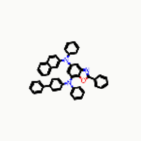 c1ccc(-c2ccc(N(c3ccccc3)c3cc(N(c4ccccc4)c4ccc5ccccc5c4)cc4nc(-c5ccccc5)oc34)cc2)cc1